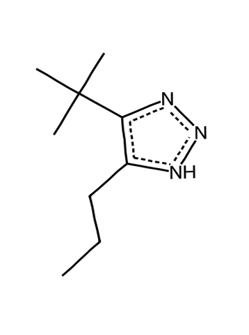 CCCc1[nH]nnc1C(C)(C)C